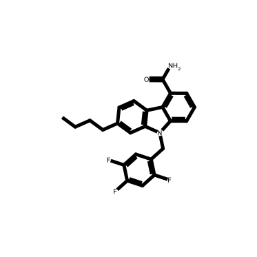 CCCCc1c[c]c2c3c(C(N)=O)cccc3n(Cc3cc(F)c(F)cc3F)c2c1